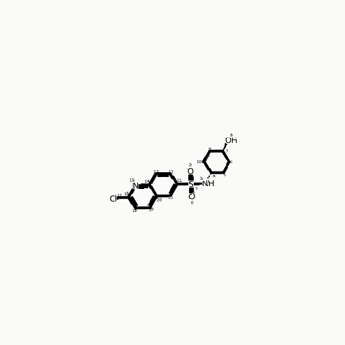 O=S(=O)(N[C@H]1CC[C@H](O)CC1)c1ccc2nc(Cl)ccc2c1